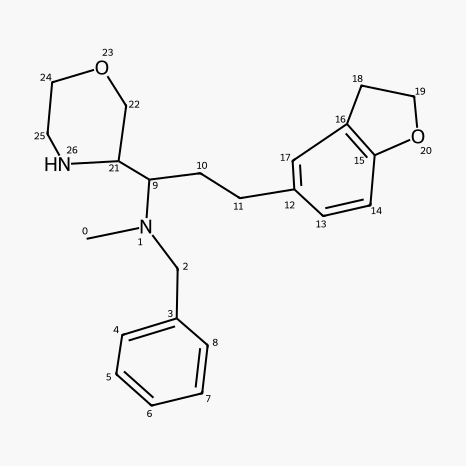 CN(Cc1ccccc1)C(CCc1ccc2c(c1)CCO2)C1COCCN1